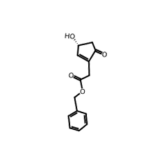 O=C(CC1=C[C@H](O)CC1=O)OCc1ccccc1